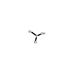 CCP(O)CC